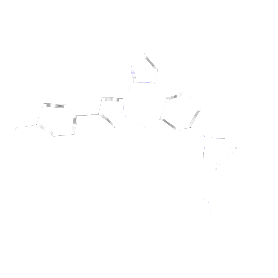 C[C@H]1CN(c2ccc3c(c2)Cn2cc(-c4ccc(C#N)cc4)cc2-c2nccn2-3)C[C@H]1CN(C)C